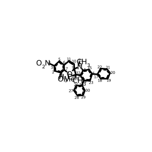 COc1cc([N+](=O)[O-])cc2c1OC1(C=C2)N(C)c2cc(-c3ccccc3)cc(-c3ccccc3)c2C1(C)C